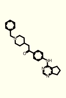 O=C(CC1CCN(Cc2ccccc2)CC1)c1ccc(Nc2ncnc3c2CCC3)cc1